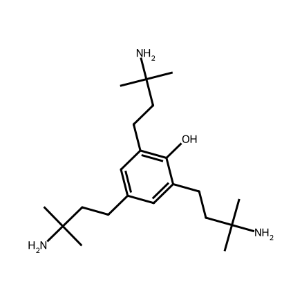 CC(C)(N)CCc1cc(CCC(C)(C)N)c(O)c(CCC(C)(C)N)c1